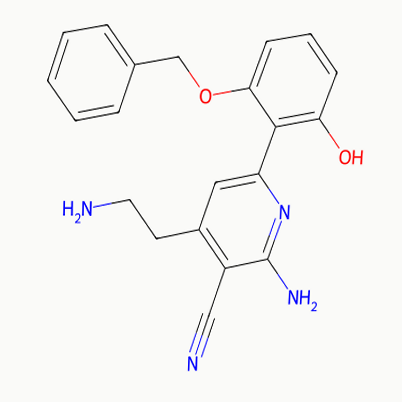 N#Cc1c(CCN)cc(-c2c(O)cccc2OCc2ccccc2)nc1N